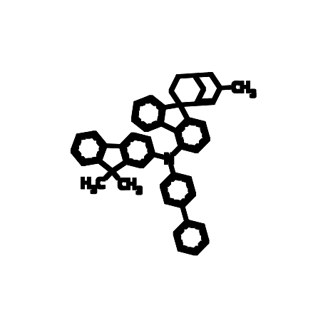 CC1C=C2CC(CCC23c2ccccc2-c2c(N(c4ccc(-c5ccccc5)cc4)c4ccc5c(c4)C(C)(C)c4ccccc4-5)cccc23)C1